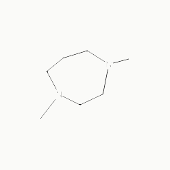 CN1CCCN(C)CC1